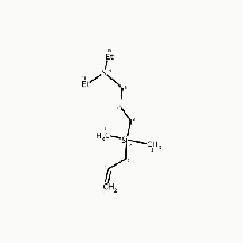 C=CC[Si](C)(C)CCCN(CC)CC